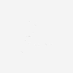 C=CC(=O)N1C[C@H](C)N(c2nc(=O)n(-c3c(C)ccnc3C(C)C)c3nc(-c4c(F)cccc4NC(=O)C(F)F)c(Cl)cc23)C[C@H]1C